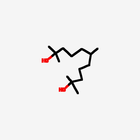 CC(CCCC(C)(C)O)CCCC(C)(C)O